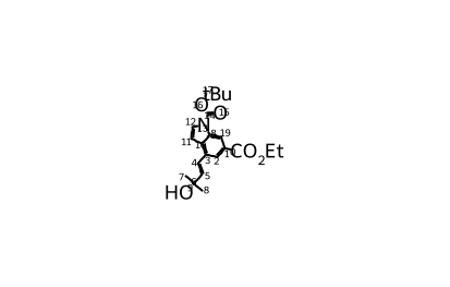 CCOC(=O)c1cc(/C=C/C(C)(C)O)c2ccn(C(=O)OC(C)(C)C)c2c1